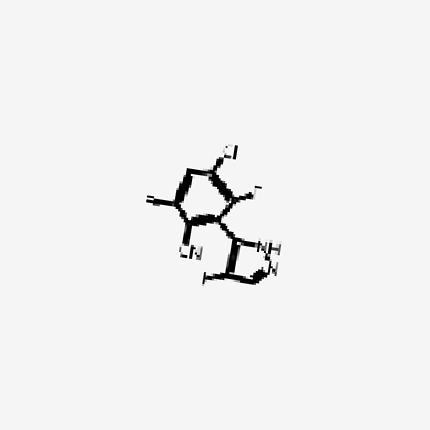 N#Cc1c(F)cc(Cl)c(F)c1-c1[nH]ncc1I